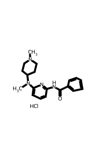 CN1CCC(N(C)c2cccc(NC(=O)c3ccccc3)n2)CC1.Cl